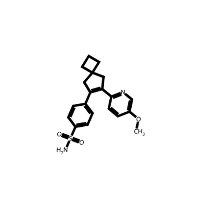 COc1ccc(C2=C(c3ccc(S(N)(=O)=O)cc3)CC3(CCC3)C2)nc1